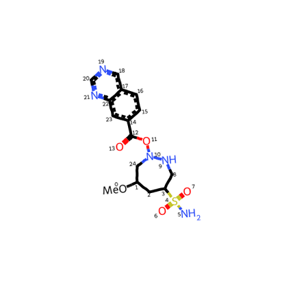 COC1CC(S(N)(=O)=O)CNN(OC(=O)c2ccc3cncnc3c2)C1